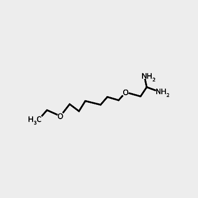 CCOCCCCCCOCC(N)N